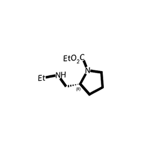 CCNC[C@H]1CCCN1C(=O)OCC